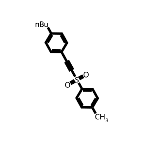 CCCCc1ccc(C#CS(=O)(=O)c2ccc(C)cc2)cc1